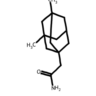 CC12CC3CC(C)(C1)CC(CC(N)=O)(C3)C2